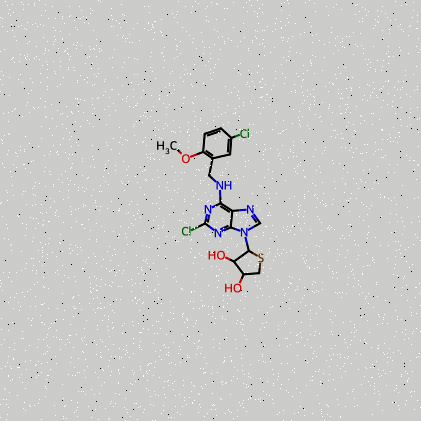 COc1ccc(Cl)cc1CNc1nc(Cl)nc2c1ncn2C1SCC(O)C1O